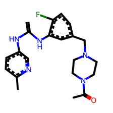 C=C(Nc1ccc(C)nc1)Nc1cc(CN2CCN(C(C)=O)CC2)ccc1F